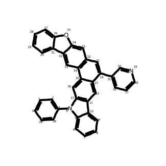 c1ccc(-n2c3ccccc3c3cc4c(-c5cccnc5)cc5cc6oc7ccccc7c6cc5c4cc32)cc1